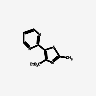 CCOC(=O)c1nc(C)sc1-c1ncccn1